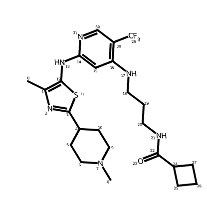 Cc1nc(C2CCN(C)CC2)sc1Nc1cc(NCCCNC(=O)C2CCC2)c(C(F)(F)F)cn1